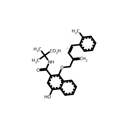 C=C(/C=C\c1ccccc1C)COc1c(C(=O)NC(C)(C)C(=O)O)cc(O)c2ccccc12